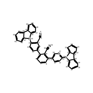 N#Cc1cc(-c2cccc(-c3ccc(-n4c5ccccc5c5ccccc54)nc3)c2C#N)ccc1-n1c2ccccc2c2ccccc21